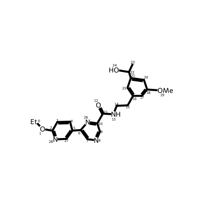 CCOc1ccc(-c2cncc(C(=O)NCCc3cc(OC)cc(C(C)O)c3)n2)cn1